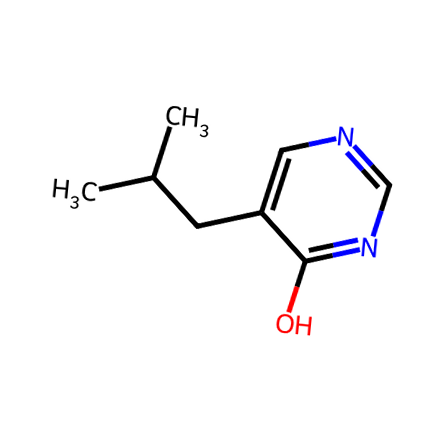 CC(C)Cc1cncnc1O